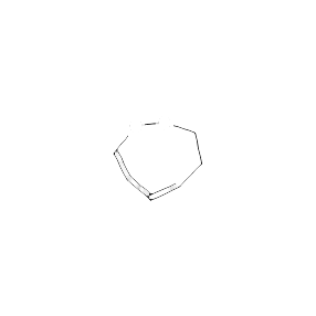 C1=C=COOCCC=1